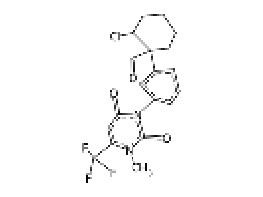 Cn1c(C(F)(F)F)cc(=O)n(-c2cccc(C3(C=O)CCCCC3Cl)c2)c1=O